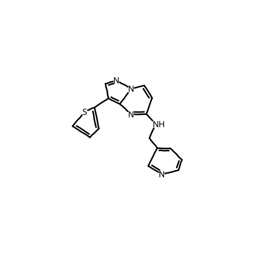 c1cncc(CNc2ccn3ncc(-c4cccs4)c3n2)c1